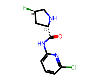 O=C(Nc1cccc(Cl)n1)[C@@H]1C[C@@H](F)CN1